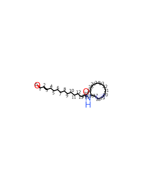 O=CC=CCCCCCCCCCCC1NC2/C=C/C=C\CCCCCCC2O1